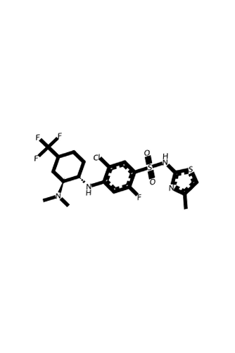 Cc1csc(NS(=O)(=O)c2cc(Cl)c(N[C@H]3CCC(C(F)(F)F)C[C@@H]3N(C)C)cc2F)n1